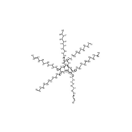 CCCCCCCCCCCOc1cc2c3cc(OCCCCCCCCCCC)c(OCCCCCCCCCCC)cc3c3cc(OCCCCCCCCCCC)c(OCCCCCCCCCCC)cc3c2cc1OCCCCCCCCCCC